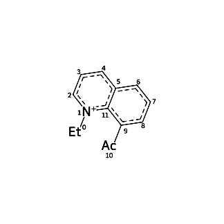 CC[n+]1cccc2cccc(C(C)=O)c21